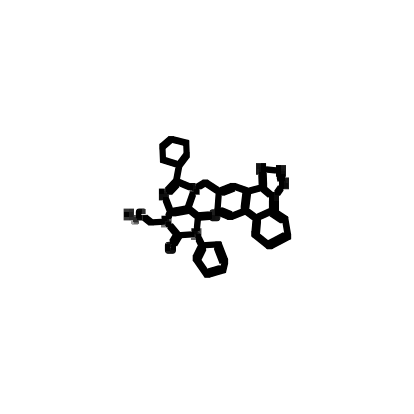 CCn1c(=O)n(-c2ccccc2)c(=O)c2c1nc(C1CCCCC1)n2Cc1ccc(-c2ccccc2)c(-c2nnn[nH]2)c1